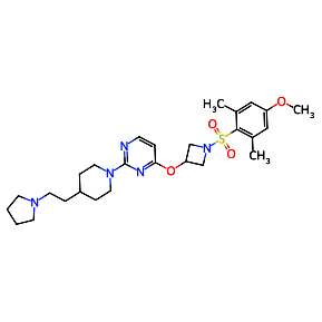 COc1cc(C)c(S(=O)(=O)N2CC(Oc3ccnc(N4CCC(CCN5CCCC5)CC4)n3)C2)c(C)c1